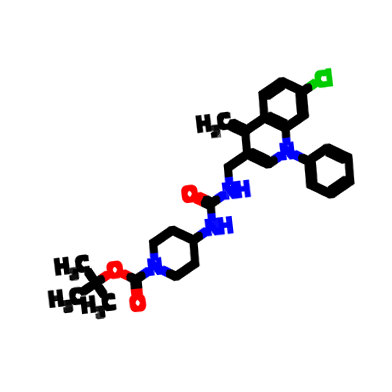 C=C1C(CNC(=O)NC2CCN(C(=O)OC(C)(C)C)CC2)=CN(c2ccccc2)c2cc(Cl)ccc21